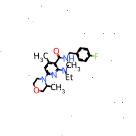 CCN(C)c1nc(N2CCOCC2C)cc(C)c1C(=O)NCc1ccc(F)cc1